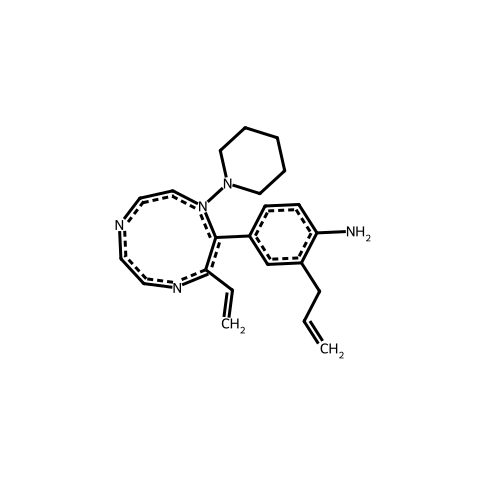 C=CCc1cc(-c2c(C=C)nccnccn2N2CCCCC2)ccc1N